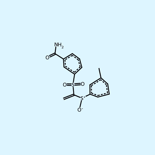 C=C([S+]([O-])c1cccc(C)c1)S(=O)(=O)c1cccc(C(N)=O)c1